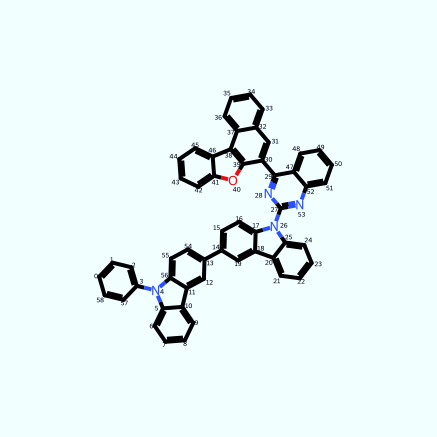 c1ccc(-n2c3ccccc3c3cc(-c4ccc5c(c4)c4ccccc4n5-c4nc(-c5cc6ccccc6c6c5oc5ccccc56)c5ccccc5n4)ccc32)cc1